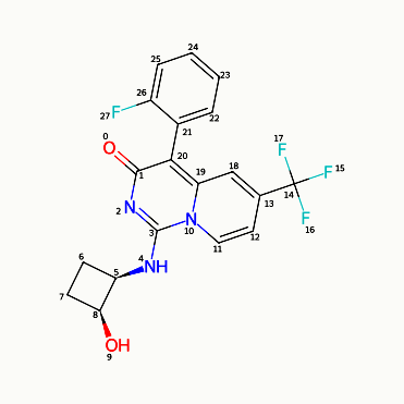 O=c1nc(N[C@@H]2CC[C@@H]2O)n2ccc(C(F)(F)F)cc2c1-c1ccccc1F